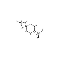 CN1CC2(CCC(N(C)C)CC2)C1